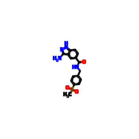 CS(=O)(=O)c1ccc(CNC(=O)c2ccc3[nH]nc(N)c3c2)cc1